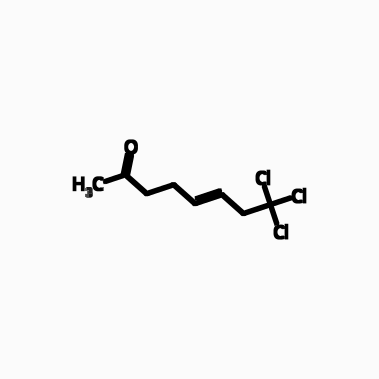 CC(=O)CCC=CCC(Cl)(Cl)Cl